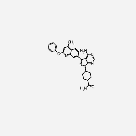 Cc1cc(Oc2ccccc2)nc2cc(-c3nn(C4CCC(C(N)=O)CC4)c4ncnc(N)c34)ccc12